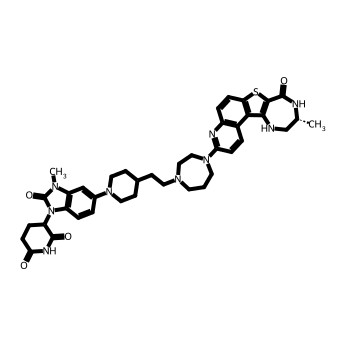 C[C@@H]1CNc2c(sc3ccc4nc(N5CCCN(CCC6CCN(c7ccc8c(c7)n(C)c(=O)n8C7CCC(=O)NC7=O)CC6)CC5)ccc4c23)C(=O)N1